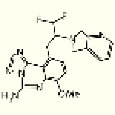 COc1ccc(CC(C(F)F)N2Cc3cccnc3C2)c2c1nc(N)n1ncnc21